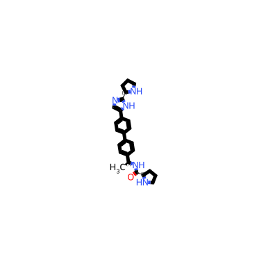 C[C@H](NC(=O)[C@@H]1CCCN1)c1ccc(-c2ccc(-c3cnc([C@@H]4CCCN4)[nH]3)cc2)cc1